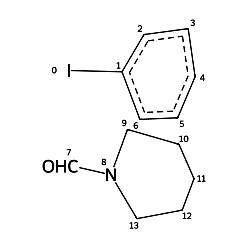 Ic1ccccc1.O=CN1CCCCC1